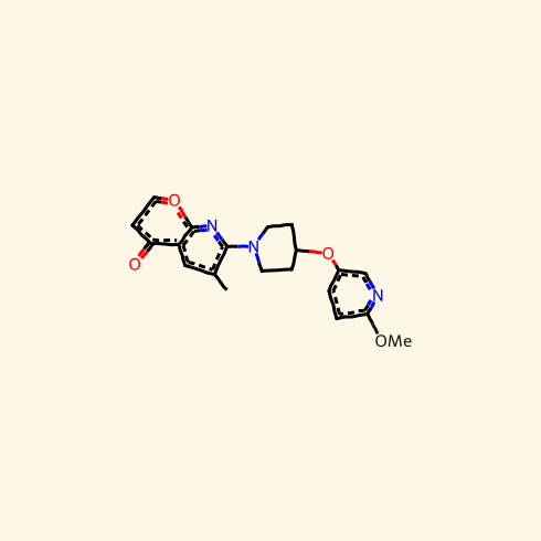 COc1ccc(OC2CCN(c3nc4occc(=O)c4cc3C)CC2)cn1